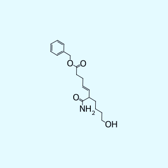 NC(=O)C(C=CCCC(=O)OCc1ccccc1)CCCCO